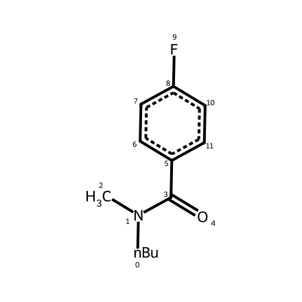 CCCCN(C)C(=O)c1ccc(F)cc1